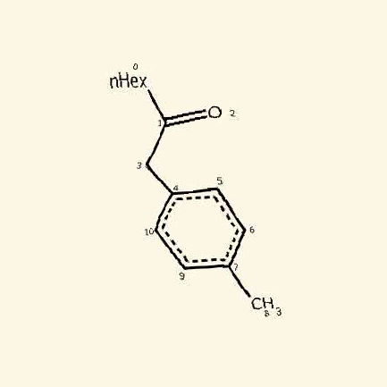 CCCCCCC(=O)Cc1ccc(C)cc1